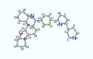 c1cc(-c2ccncc2)nc(-c2ccc(-c3nc4ccccc4c4c3ccc3c5ccccc5oc34)cc2)c1